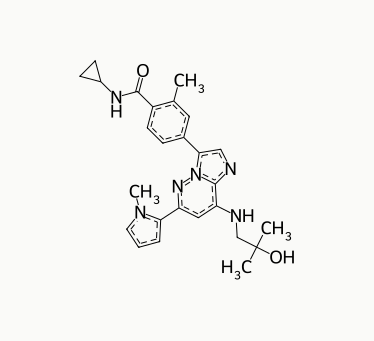 Cc1cc(-c2cnc3c(NCC(C)(C)O)cc(-c4cccn4C)nn23)ccc1C(=O)NC1CC1